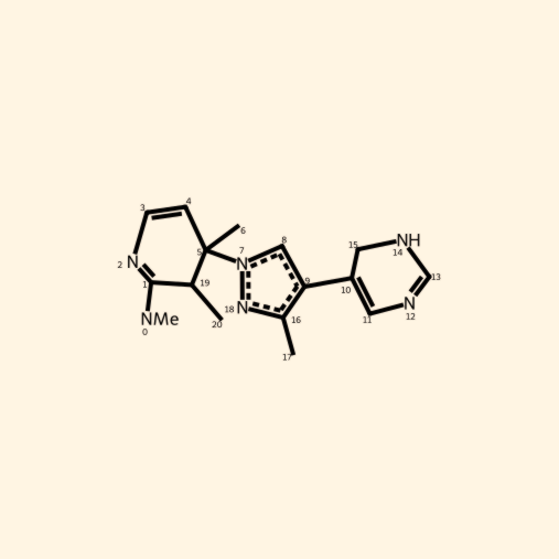 CNC1=NC=CC(C)(n2cc(C3=CN=CNC3)c(C)n2)C1C